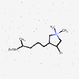 CCC1C[N+](C)(C)CC1CCCC(C)NC(C)=O